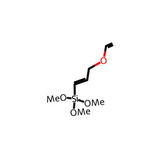 C=COCC=C[Si](OC)(OC)OC